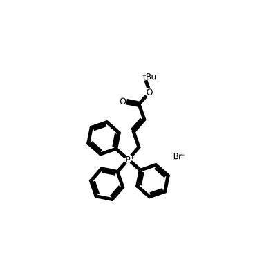 CC(C)(C)OC(=O)/C=C/C[P+](c1ccccc1)(c1ccccc1)c1ccccc1.[Br-]